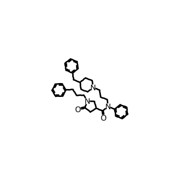 O=C1CC(C(=O)N(CCCN2CCC(Cc3ccccc3)CC2)c2ccccc2)CN1CCCc1ccccc1